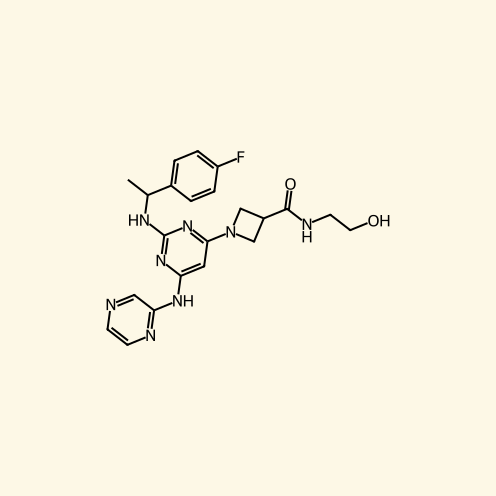 CC(Nc1nc(Nc2cnccn2)cc(N2CC(C(=O)NCCO)C2)n1)c1ccc(F)cc1